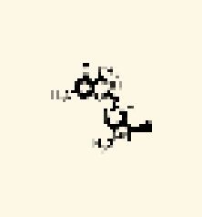 Cc1ccc(C(C)NC(=O)Cn2ncc3c(c(C4CC4)nn3C)c2=O)c(F)c1